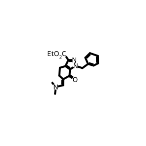 CCOC(=O)c1nn(Cc2ccccc2)c2c1CCC(=CN(C)C)C2=O